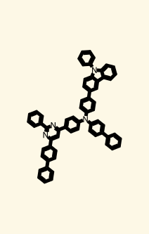 c1ccc(-c2ccc(-c3cc(-c4ccc(N(c5ccc(-c6ccccc6)cc5)c5ccc(-c6ccc7c(c6)c6ccccc6n7-c6ccccc6)cc5)cc4)nc(-c4ccccc4)n3)cc2)cc1